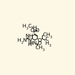 CCO[PH](=O)C1=C[C@@H](OC(CC)CC)[C@H](NC(C)=O)[C@@H](NC(=N)N)C1